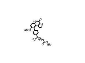 COc1ccc2[nH]c(=O)c3sccc3c2c1-c1ccc([C@@H](C)CNCC(=O)OC(C)(C)C)cc1